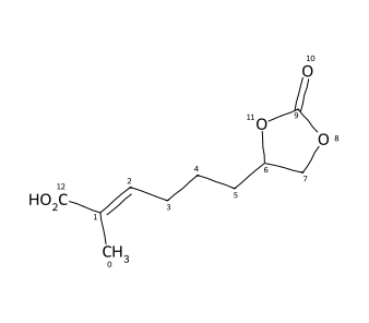 CC(=CCCCC1COC(=O)O1)C(=O)O